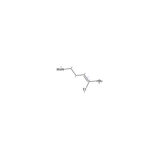 CCCC/C(=C/CCNC)CC